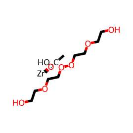 CC(=O)O.OCCOCCOOCCOCCO.[O]=[Zr]